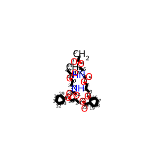 C=CC(=O)OCCNC(=O)OCCCOc1ccccc1C(=O)OCC(COc1ccccc1)OC(=O)NCCOC(=O)C=C